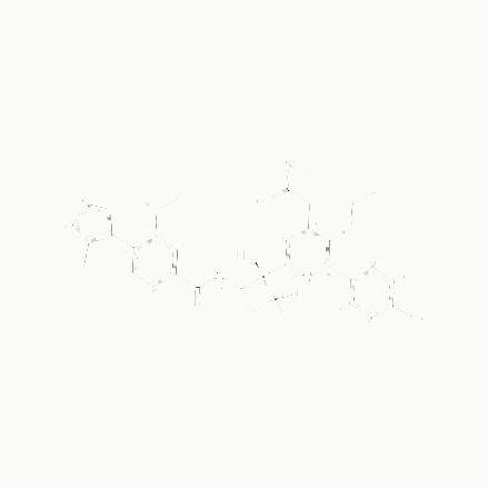 CCOc1c(CC(N)=O)cc([C@@](O)(CNC(=O)c2ccc(-c3oncc3C)c(OC)c2)C(F)(F)F)nc1-c1ccc(F)cc1